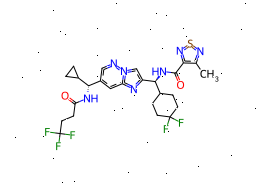 Cc1nsnc1C(=O)N[C@H](c1cn2ncc([C@H](NC(=O)CCC(F)(F)F)C3CC3)cc2n1)C1CCC(F)(F)CC1